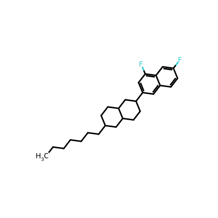 CCCCCCCC1CCC2CC(c3cc(F)c4cc(F)ccc4c3)CCC2C1